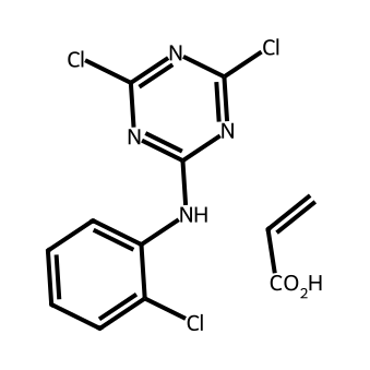 C=CC(=O)O.Clc1nc(Cl)nc(Nc2ccccc2Cl)n1